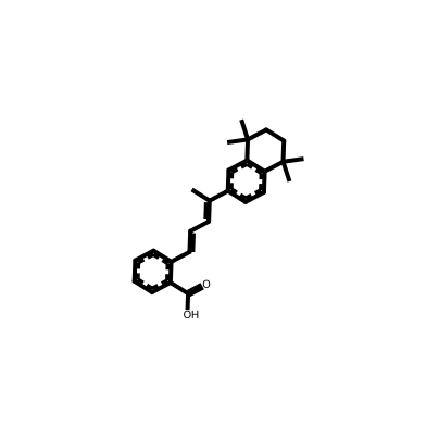 C/C(=C\C=C\c1ccccc1C(=O)O)c1ccc2c(c1)C(C)(C)CCC2(C)C